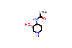 COC(=O)N[C@H]1CCNC[C@@H]1O